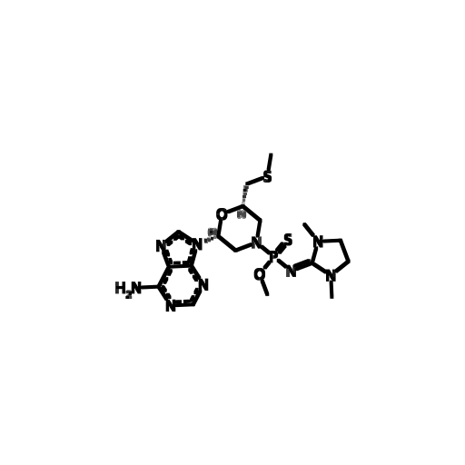 COP(=S)(N=C1N(C)CCN1C)N1C[C@@H](CSC)O[C@@H](n2cnc3c(N)ncnc32)C1